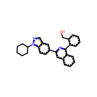 OCc1ccccc1-c1nc(-c2ccc3c(cnn3C3CCCCC3)c2)cc2ccccc12